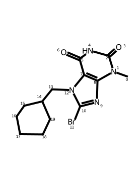 Cn1c(=O)[nH]c(=O)c2c1nc(Br)n2CC1CCCCC1